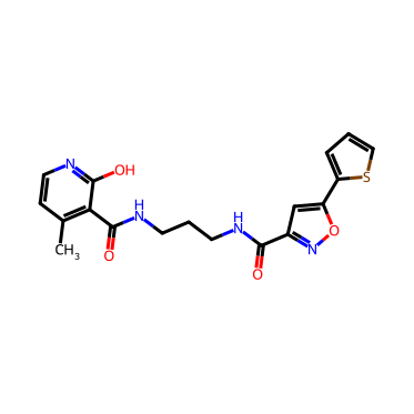 Cc1ccnc(O)c1C(=O)NCCCNC(=O)c1cc(-c2cccs2)on1